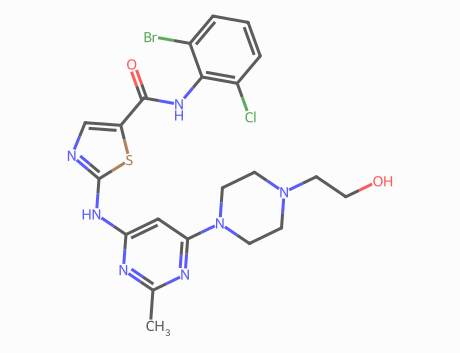 Cc1nc(Nc2ncc(C(=O)Nc3c(Cl)cccc3Br)s2)cc(N2CCN(CCO)CC2)n1